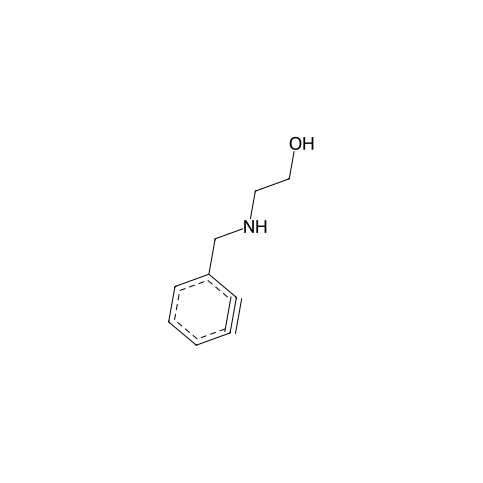 OCCNCc1c#cccc1